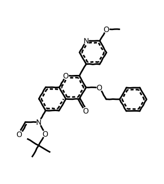 COc1ccc(-c2oc3ccc(N(C=O)OC(C)(C)C)cc3c(=O)c2OCc2ccccc2)cn1